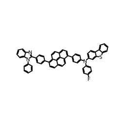 Fc1ccc(N(c2ccc(-c3ccc4ccc5c(-c6ccc(-c7nc8ccccc8n7-c7ccccc7)cc6)ccc6ccc3c4c65)cc2)c2ccc3c(c2)sc2ccccc23)cc1